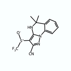 CC1(C)Nc2c([S+]([O-])C(F)(F)F)c(C#N)nn2-c2ccccc21